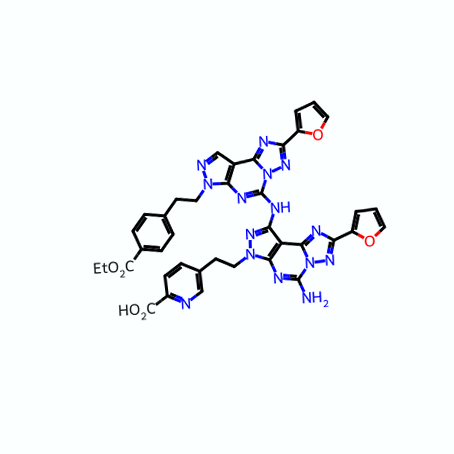 CCOC(=O)c1ccc(CCn2ncc3c2nc(Nc2nn(CCc4ccc(C(=O)O)nc4)c4nc(N)n5nc(-c6ccco6)nc5c24)n2nc(-c4ccco4)nc32)cc1